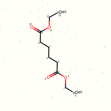 CCCCCCCCCCCOC(=O)CCCCC(=O)OCCCCCCCCCCC